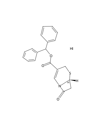 I.O=C(OC(c1ccccc1)c1ccccc1)C1=CN2C(=O)C[C@H]2SC1